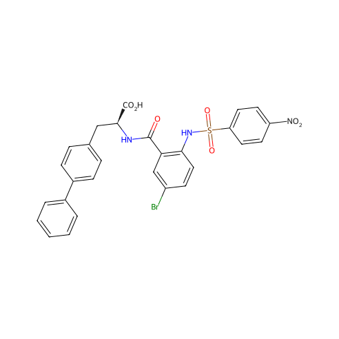 O=C(N[C@@H](Cc1ccc(-c2ccccc2)cc1)C(=O)O)c1cc(Br)ccc1NS(=O)(=O)c1ccc([N+](=O)[O-])cc1